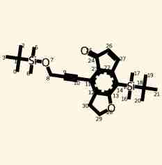 CC(C)(C)[Si](C)(C)OCC#Cc1c2c(c([Si](C)(C)C(C)(C)C)c3c1C(=O)C=C3)OCC2